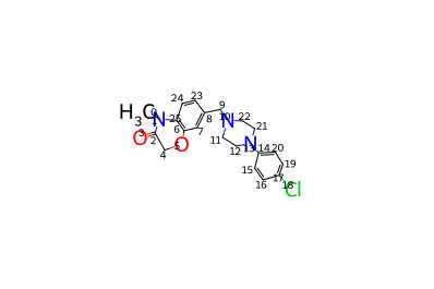 CN1C(=O)COc2cc(CN3CCN(c4ccc(Cl)cc4)CC3)ccc21